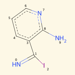 N=C(I)c1cccnc1N